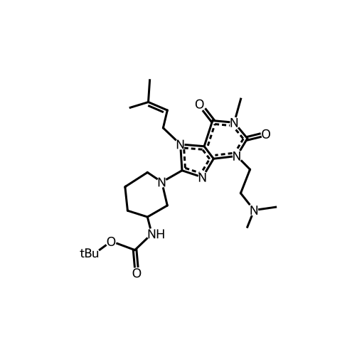 CC(C)=CCn1c(N2CCCC(NC(=O)OC(C)(C)C)C2)nc2c1c(=O)n(C)c(=O)n2CCN(C)C